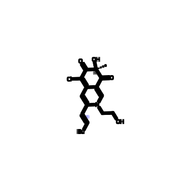 CCC(C)/C=C/C1=CC2=C(Cl)C(=O)[C@@](C)(O)C(=O)C2=CN1CCO